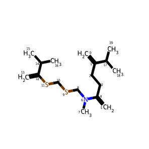 C=C(CCC(=C)N(C)CSCSC(=C)C(C)C)C(C)C